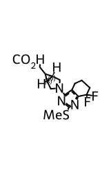 CSc1nc(N2C[C@@H]3C(CC(=O)O)[C@@H]3C2)c2c(n1)C(F)(F)CCC2